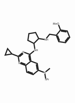 CCCN(C)c1ccc2nc(C3CC3)nc(NC3CCCC3NCc3ccccc3OC)c2c1